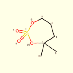 CC1(C)CCCOS(=O)(=O)O1